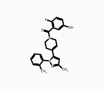 Cc1cc(C2=CCN(C(=O)c3cc(O)ccc3F)CC2)n(-c2ccccc2C)n1